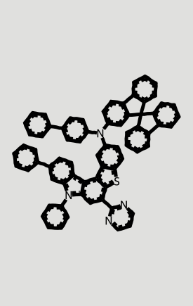 c1ccc(-c2ccc(N(c3ccc4c(c3)C3(c5ccccc5-c5ccccc53)c3ccccc3-4)c3ccc4sc5c(-c6ncccn6)cc6c(c7ccc(-c8ccccc8)cc7n6-c6ccccc6)c5c4c3)cc2)cc1